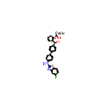 COC(=O)[C@H]1CCC[C@@H]1C(=O)c1ccc(-c2ccc(Nc3nc4cc(F)ccc4s3)cc2)cc1